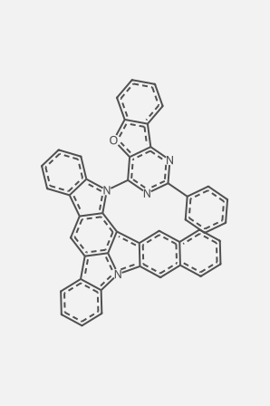 c1ccc(-c2nc(-n3c4ccccc4c4cc5c6ccccc6n6c7cc8ccccc8cc7c(c43)c56)c3oc4ccccc4c3n2)cc1